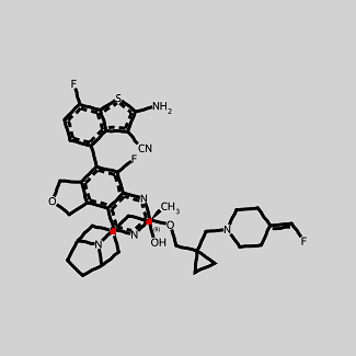 C[C@@H](O)CN1CC2CCC(C1)N2c1nc(OCC2(CN3CCC(=CF)CC3)CC2)nc2c(F)c(-c3ccc(F)c4sc(N)c(C#N)c34)c3c(c12)COC3